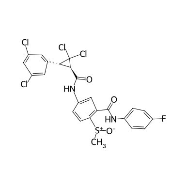 C[S+]([O-])c1ccc(NC(=O)[C@H]2[C@H](c3cc(Cl)cc(Cl)c3)C2(Cl)Cl)cc1C(=O)Nc1ccc(F)cc1